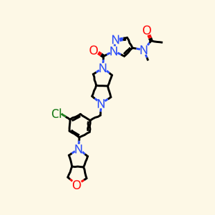 CC(=O)N(C)c1cnn(C(=O)N2CC3CN(Cc4cc(Cl)cc(N5CC6COCC6C5)c4)CC3C2)c1